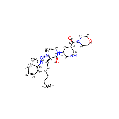 COCCCCc1c(C(=O)N(CC(C)C)[C@@H]2CNC[C@H](C(=O)N3CCOCC3)C2)nnn1-c1ccccc1C